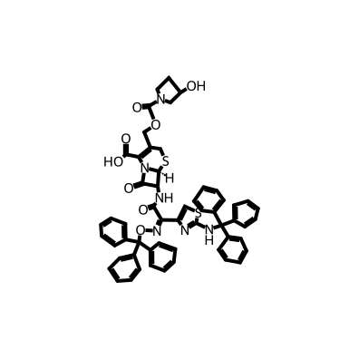 O=C(O)C1=C(COC(=O)N2CCC(O)C2)CS[C@H]2C(NC(=O)/C(=N\OC(c3ccccc3)(c3ccccc3)c3ccccc3)c3csc(NC(c4ccccc4)(c4ccccc4)c4ccccc4)n3)C(=O)N12